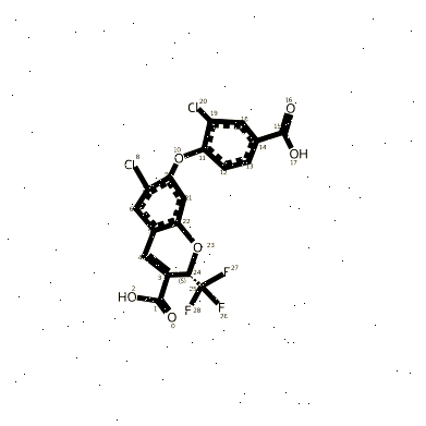 O=C(O)C1=Cc2cc(Cl)c(Oc3ccc(C(=O)O)cc3Cl)cc2O[C@@H]1C(F)(F)F